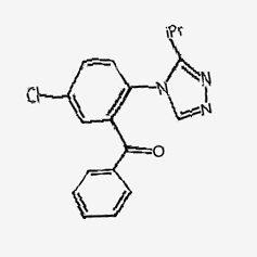 CC(C)c1nncn1-c1ccc(Cl)cc1C(=O)c1ccccc1